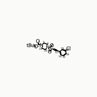 CC(C)(C)OC(=O)N1CCN(S(=O)(=O)C#Cc2cccc(Cl)c2)CC1